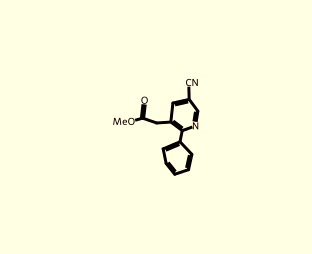 COC(=O)Cc1cc(C#N)cnc1-c1ccccc1